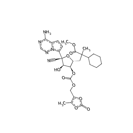 COC(=O)C(C)(C[C@H]1O[C@@](C#N)(c2ccc3c(N)ncnn23)[C@H](O)[C@@H]1OC(=O)OCc1oc(=O)oc1C)C1CCCCC1